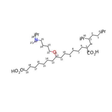 CC(C)CCC(CC(CCCCCCC(CCCCCCCC(=O)O)OCCCCN(C)C(C)C)C(=O)O)C(C)C